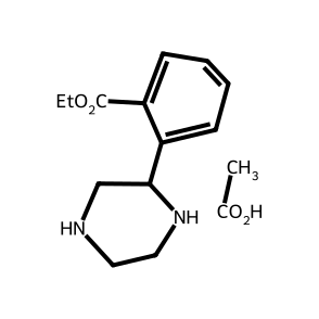 CC(=O)O.CCOC(=O)c1ccccc1C1CNCCN1